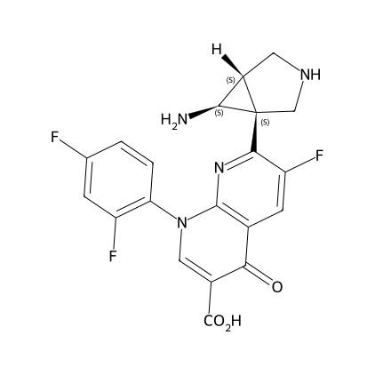 N[C@H]1[C@@H]2CNC[C@]12c1nc2c(cc1F)c(=O)c(C(=O)O)cn2-c1ccc(F)cc1F